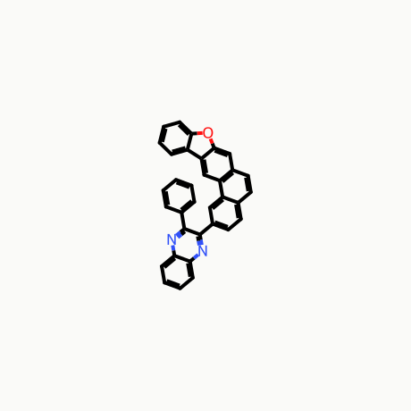 c1ccc(-c2nc3ccccc3nc2-c2ccc3ccc4cc5oc6ccccc6c5cc4c3c2)cc1